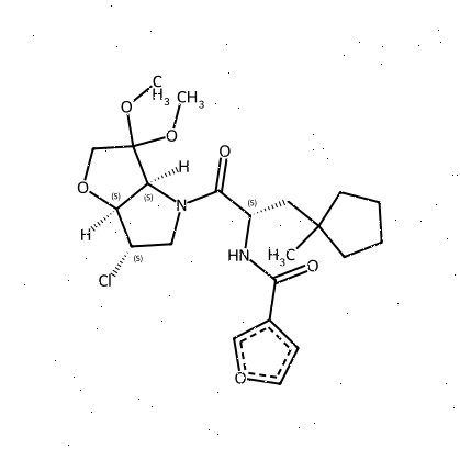 COC1(OC)CO[C@H]2[C@@H]1N(C(=O)[C@H](CC1(C)CCCC1)NC(=O)c1ccoc1)C[C@@H]2Cl